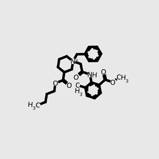 CCCCOC(=O)C1CCC[N+](CC(=O)Nc2c(C)cccc2C(=O)OC)(Cc2ccccc2)C1